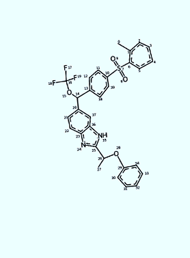 Cc1ccccc1S(=O)(=O)c1ccc(C(OC(F)(F)F)c2ccc3nc(C(C)Oc4ccccc4)[nH]c3c2)cc1